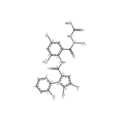 COC(=O)NN(C)C(=O)c1cc(Cl)cc(C)c1NC(=O)c1cc(Cl)c(Cl)n1-c1ncccc1Cl